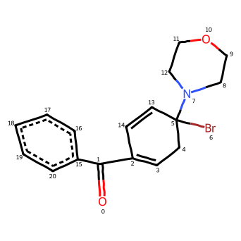 O=C(C1=CCC(Br)(N2CCOCC2)C=C1)c1ccccc1